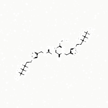 CC(C)(C)OC(=O)N[C@@H](CC(=O)OCc1cn(CCC(F)(F)C(F)(F)C(F)(F)C(F)(F)F)nn1)C(=O)OCc1cn(CCC(F)(F)C(F)(F)C(F)(F)C(F)(F)F)nn1